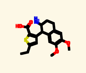 CCc1cc(C2c3cc(OC)c(OC)cc3CCC2N)c(C(=O)O)s1